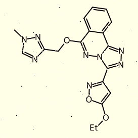 CCOc1cc(-c2nnc3c4ccccc4c(OCc4ncn(C)n4)nn23)no1